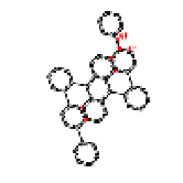 OB(O)c1ccc2c(-c3ccccc3-c3ccc(-c4ccccc4)cc3)c3ccccc3c(-c3ccccc3-c3ccc(-c4ccccc4)cc3)c2c1